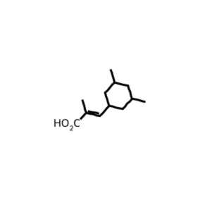 CC(=CC1CC(C)CC(C)C1)C(=O)O